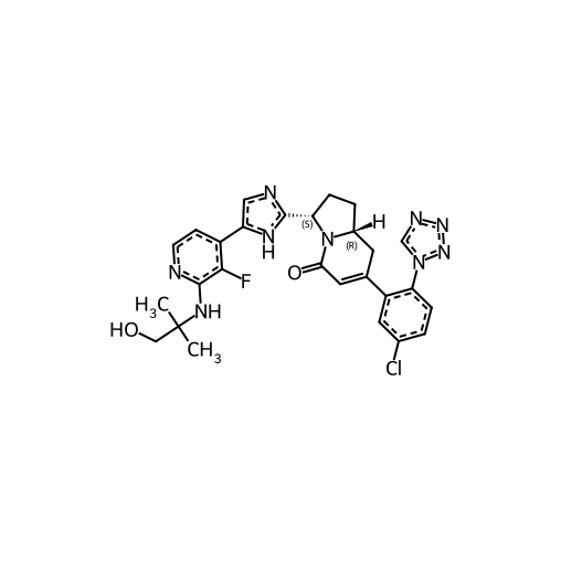 CC(C)(CO)Nc1nccc(-c2cnc([C@@H]3CC[C@@H]4CC(c5cc(Cl)ccc5-n5cnnn5)=CC(=O)N43)[nH]2)c1F